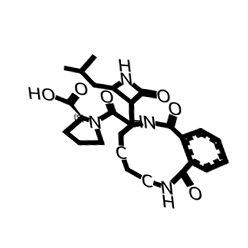 CC(C)CC1NC(=O)C1C1(C(=O)N2CCC[C@H]2C(=O)O)CCCCNC(=O)c2ccccc2C(=O)N1